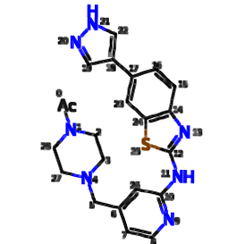 CC(=O)N1CCN(Cc2ccnc(Nc3nc4ccc(-c5cn[nH]c5)cc4s3)c2)CC1